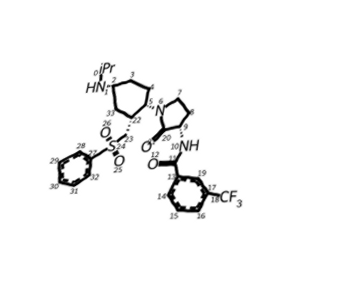 CC(C)N[C@@H]1CC[C@H](N2CC[C@H](NC(=O)c3cccc(C(F)(F)F)c3)C2=O)[C@H](CS(=O)(=O)c2ccccc2)C1